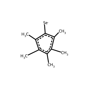 Cc1c(C)c(C)c([Se])c(C)c1C